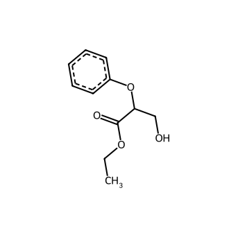 CCOC(=O)C(CO)Oc1ccccc1